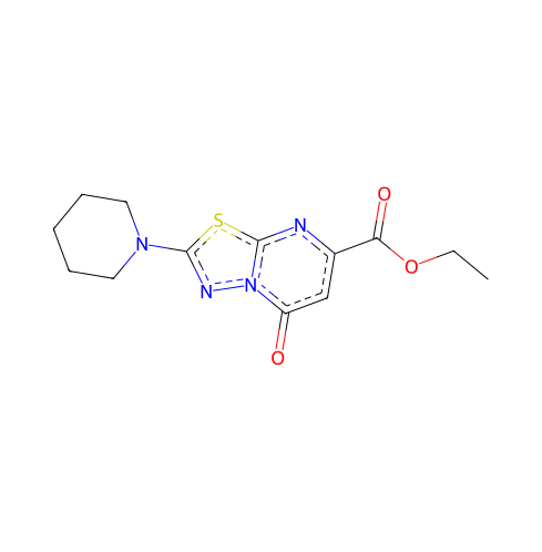 CCOC(=O)c1cc(=O)n2nc(N3CCCCC3)sc2n1